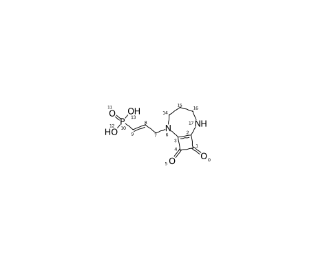 O=c1c2c(c1=O)N(CC=CP(=O)(O)O)CCCN2